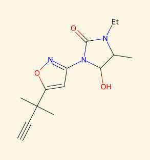 C#CC(C)(C)c1cc(N2C(=O)N(CC)C(C)C2O)no1